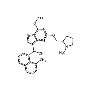 Cc1cccc2cccc(C(O)c3cnc4c(OC(C)(C)C)nc(OCC5CCCN5C)nn34)c12